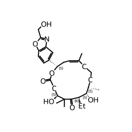 CC[C@H]1C(=O)C(C)(C)[C@@H](O)CC(=O)O[C@H](c2ccc3oc(CO)nc3c2)CC=C(C)CCC[C@H](C)[C@@H]1O